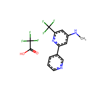 CNc1cc(-c2cccnc2)nc(C(F)(F)F)c1.O=C(O)C(F)(F)F